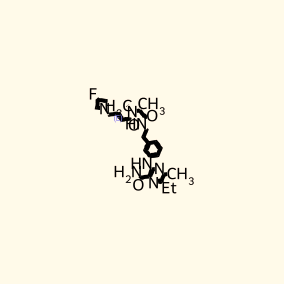 CCc1nc(C(N)=O)c(Nc2cccc(CCNC(=O)C(C)N(C)C(=O)/C=C/CN3CC(F)C3)c2)nc1C